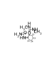 CNC(=O)NC.NC(=O)NC1CCCCC1